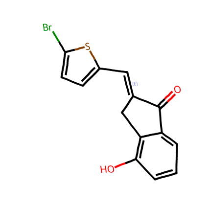 O=C1/C(=C/c2ccc(Br)s2)Cc2c(O)cccc21